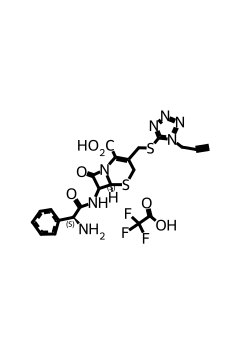 C#CCn1nnnc1SCC1=C(C(=O)O)N2C(=O)C(NC(=O)[C@@H](N)c3ccccc3)[C@@H]2SC1.O=C(O)C(F)(F)F